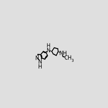 CCN[C@H]1CC[C@@H](Nc2ccc3[nH]ncc3c2)CC1